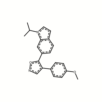 COc1ccc(-c2cnoc2-c2ccc3ccn(C(C)C)c3c2)cc1